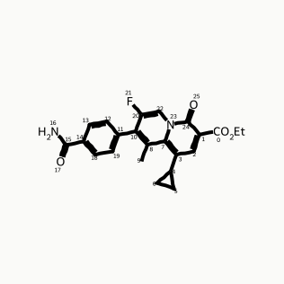 CCOC(=O)c1cc(C2CC2)c2c(C)c(-c3ccc(C(N)=O)cc3)c(F)cn2c1=O